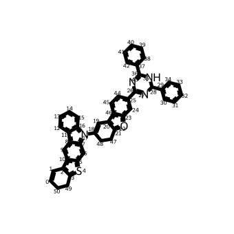 C1=Cc2c(sc3cc4c(cc23)c2ccccc2n4C2=Cc3c(oc4cc(C5=NC(c6ccccc6)NC(c6ccccc6)=N5)ccc34)CC2)CC1